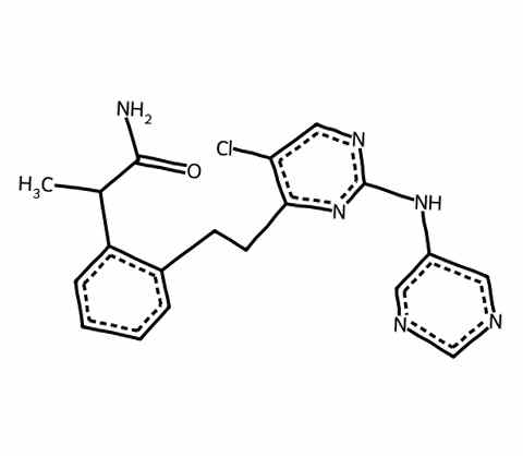 CC(C(N)=O)c1ccccc1CCc1nc(Nc2cncnc2)ncc1Cl